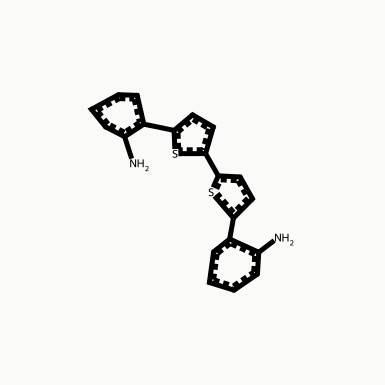 Nc1ccccc1-c1ccc(-c2ccc(-c3ccccc3N)s2)s1